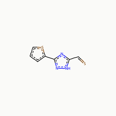 S=Cc1nc(-c2cccs2)n[nH]1